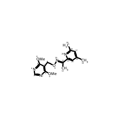 COc1ncnc(OC)c1CO/N=C(\C)c1cc(C)cc(C)n1